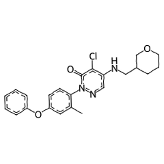 Cc1cc(Oc2ccccc2)ccc1-n1ncc(NCC2CCCOC2)c(Cl)c1=O